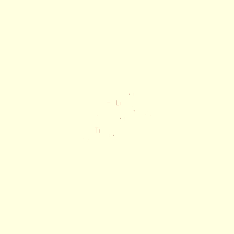 [Li+].[Li+].[Li+].[O]=[Ti]([O-])[O-].[O]=[V](=[O])[O-]